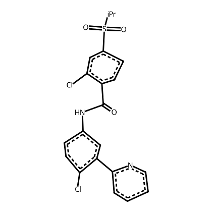 CC(C)S(=O)(=O)c1ccc(C(=O)Nc2ccc(Cl)c(-c3ccccn3)c2)c(Cl)c1